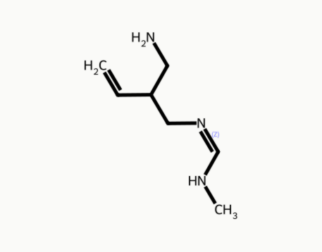 C=CC(CN)C/N=C\NC